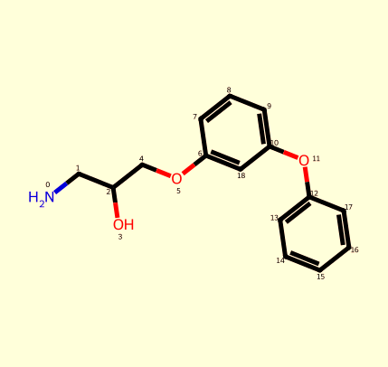 NCC(O)COc1cccc(Oc2ccccc2)c1